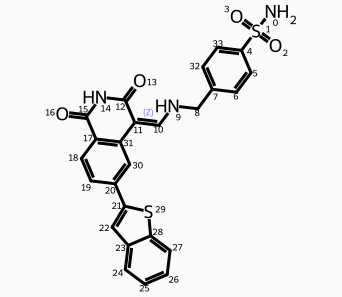 NS(=O)(=O)c1ccc(CN/C=C2\C(=O)NC(=O)c3ccc(-c4cc5ccccc5s4)cc32)cc1